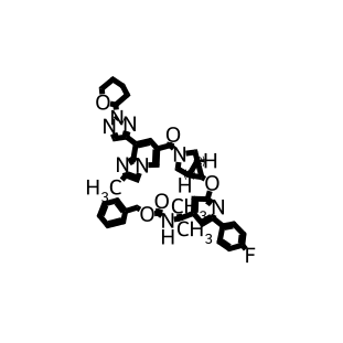 Cc1cn2cc(C(=O)N3C[C@@H]4C(Oc5cc(C(C)(C)NC(=O)OCc6ccccc6)cc(-c6ccc(F)cc6)n5)[C@@H]4C3)cc(-c3cnn(C4CCCCO4)n3)c2n1